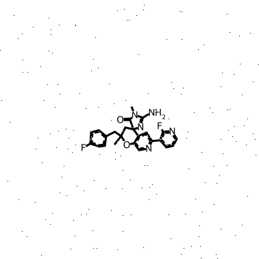 CN1C(=O)C2(CC(C)(Cc3ccc(F)cc3)Oc3cnc(-c4cccnc4F)cc32)N=C1N